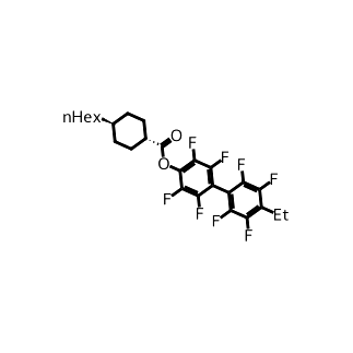 CCCCCC[C@H]1CC[C@H](C(=O)Oc2c(F)c(F)c(-c3c(F)c(F)c(CC)c(F)c3F)c(F)c2F)CC1